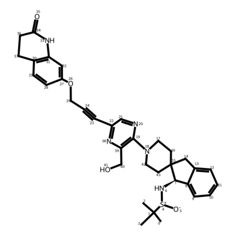 CC(C)(C)[S+]([O-])N[C@@H]1c2ccccc2CC12CCN(c1ncc(C#CCOc3ccc4c(c3)NC(=O)CC4)nc1CO)CC2